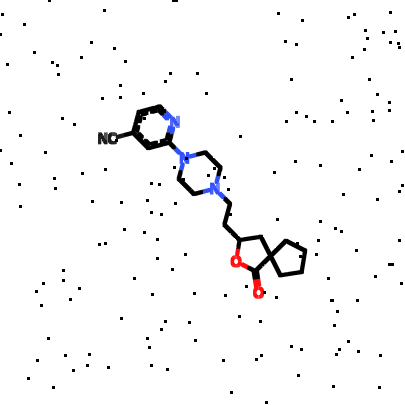 N#Cc1ccnc(N2CCN(CCC3CC4(CCCC4)C(=O)O3)CC2)c1